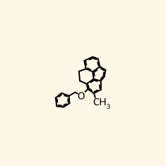 Cc1cc2ccc3cccc4c3c2c(c1OCc1ccccc1)CC4